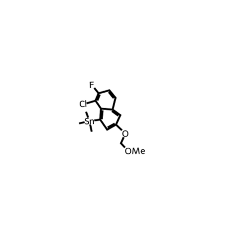 COCOc1c[c]([Sn]([CH3])([CH3])[CH3])c2c(Cl)c(F)ccc2c1